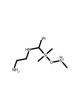 C[SiH2]O[Si](C)(C)C(NCCN)C(C)C